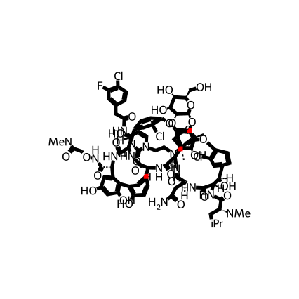 CNC(=O)CONC(=O)[C@@H]1NC(=O)[C@H]2NC(=O)[C@H](NC(=O)[C@@H]3NC(=O)[C@H](CC(N)=O)NC(=O)[C@H](NC(=O)[C@@H](CC(C)C)NC)[C@H](O)c4ccc(c(Cl)c4)Oc4cc3cc(c4O[C@@H]3O[C@H](CO)[C@@H](O)[C@H](O)[C@H]3O[C@H]3C[C@](C)(NCCn4ccc(NC(=O)Cc5ccc(Cl)c(F)c5)nc4=O)[C@H](O)[C@H](C)O3)Oc3ccc(cc3Cl)[C@H]2O)c2ccc(O)c(c2)-c2c(O)cc(O)cc21